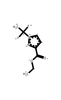 CCOC(=O)c1ccn(C(C)(F)F)n1